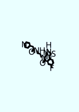 O=C(Cc1ccncc1)NCCCn1c(=O)c2cc(F)ccc2n2c(=S)[nH]nc12